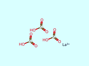 O=[S-](=O)O.O=[S-](=O)O.O=[S-](=O)O.[La+3]